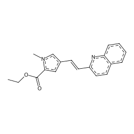 CCOC(=O)c1cc(C=Cc2ccc3ccccc3n2)cn1C